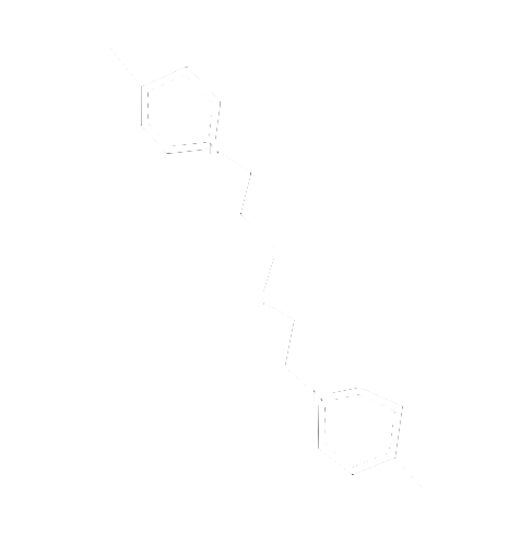 Cc1cc[n+](CCSSCC[n+]2ccc(C)cc2)cc1